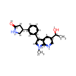 CC(O)c1cnc2c(c1)c(-c1cccc([C@H]3CNC(=O)C3)c1)cn2C